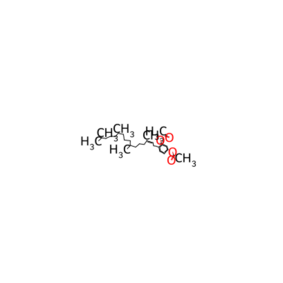 CC(=O)Oc1ccc(CC=C(C)CCCC(C)CCCC(C)CCCC(C)C)c(OC(C)=O)c1